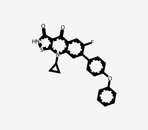 O=c1[nH]sc2c1c(=O)c1cc(F)c(-c3ccc(Oc4ccccc4)cc3)cc1n2C1CC1